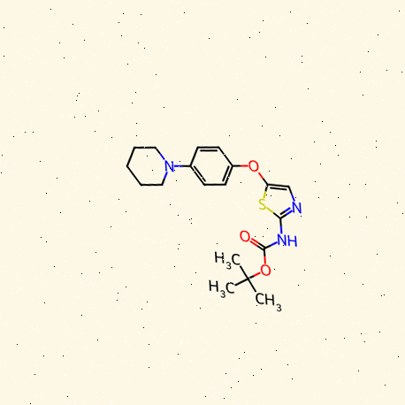 CC(C)(C)OC(=O)Nc1ncc(Oc2ccc(N3CCCCC3)cc2)s1